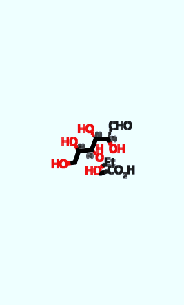 CC(=O)O.CCO.O=C[C@H](O)[C@@H](O)[C@H](O)[C@H](O)CO